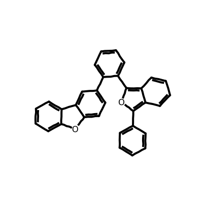 c1ccc(-c2oc(-c3ccccc3-c3ccc4oc5ccccc5c4c3)c3ccccc23)cc1